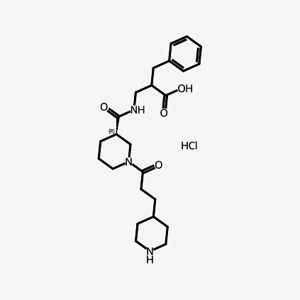 Cl.O=C(O)C(CNC(=O)[C@@H]1CCCN(C(=O)CCC2CCNCC2)C1)Cc1ccccc1